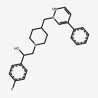 OC(CN1CCC(CN2C=C(c3ccccc3)C=CN2)CC1)c1ccc(F)cc1